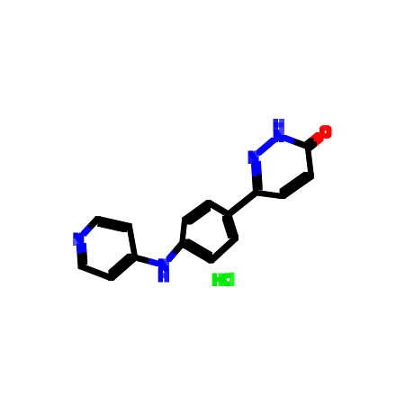 Cl.O=c1ccc(-c2ccc(Nc3ccncc3)cc2)n[nH]1